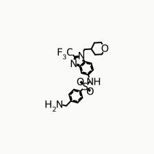 NCc1ccc(S(=O)(=O)Nc2ccc3c(c2)nc(C(F)(F)F)n3CC2CCOCC2)cc1